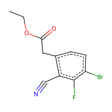 CCOC(=O)Cc1ccc(Br)c(F)c1C#N